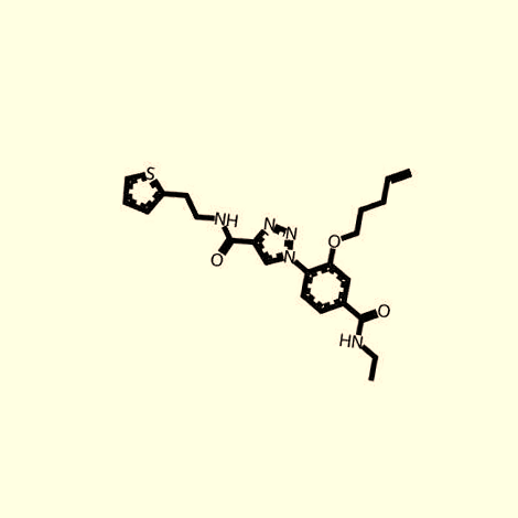 C=CCCCOc1cc(C(=O)NCC)ccc1-n1cc(C(=O)NCCc2cccs2)nn1